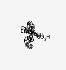 CCOC(OCC)[C@H](C)N(Cc1cccc2cccnc12)C(=O)[C@H](CCCCNC(=O)O)NC(=O)CONC(=O)NCc1cccc2ccccc12